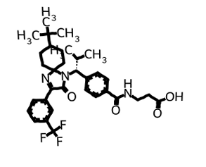 CC(C)[C@H](c1ccc(C(=O)NCCC(=O)O)cc1)N1C(=O)C(c2cccc(C(F)(F)F)c2)=NC12CCC(C(C)(C)C)CC2